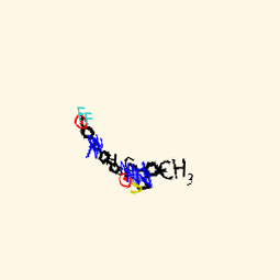 CCCc1ccc(C)cc1N1CCS/C1=N\C(=O)NC1CCC(c2ccc(-c3ncn(-c4ccc(OC(F)F)cc4)n3)cc2)C1